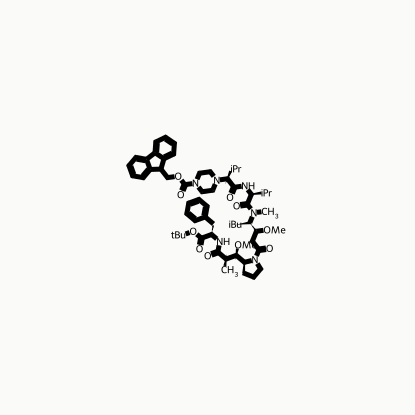 CC[C@H](C)[C@@H](C(CC(=O)N1CCC[C@H]1[C@H](OC)[C@@H](C)C(=O)N[C@@H](Cc1ccccc1)C(=O)OC(C)(C)C)OC)N(C)C(=O)[C@@H](NC(=O)[C@H](C(C)C)N1CCN(C(=O)OCC2c3ccccc3-c3ccccc32)CC1)C(C)C